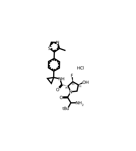 Cc1ncsc1-c1ccc(C2(NC(=O)[C@@H]3[C@@H](F)[C@@H](O)CN3C(=O)C(N)C(C)(C)C)CC2)cc1.Cl